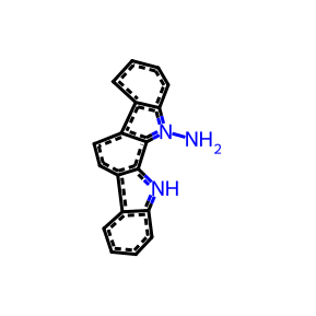 Nn1c2ccccc2c2ccc3c4ccccc4[nH]c3c21